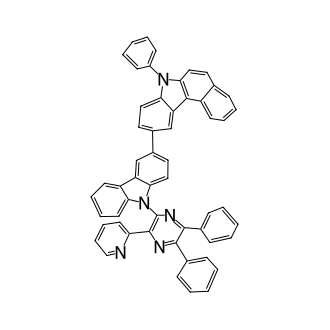 c1ccc(-c2nc(-c3ccccn3)c(-n3c4ccccc4c4cc(-c5ccc6c(c5)c5c7ccccc7ccc5n6-c5ccccc5)ccc43)nc2-c2ccccc2)cc1